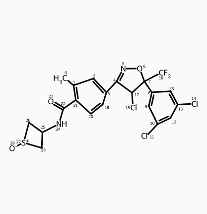 Cc1cc(C2=NOC(c3cc(Cl)cc(Cl)c3)(C(F)(F)F)C2Cl)ccc1C(=O)NC1C[S+]([O-])C1